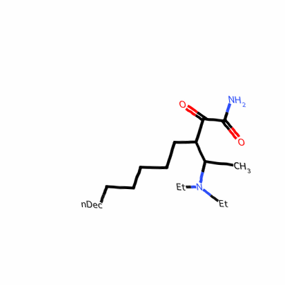 CCCCCCCCCCCCCCCC(C(=O)C(N)=O)C(C)N(CC)CC